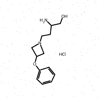 Cl.NC(CO)CCN1CC(Oc2ccccc2)C1